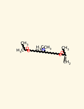 C=C=C=C=CC(CCCCC)CC(=O)OCCCCCCCCCCC(CCCCCCCCCCOC(=O)CC(C)CCCCC)CN(C)C(C)C